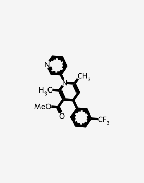 COC(=O)C1=C(C)N(c2cccnc2)C(C)=CC1c1cccc(C(F)(F)F)c1